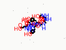 C[C@H](NC(=O)[C@H](C)NC(=O)[C@H](C)NC(=O)[C@H](C)NC(=O)[C@H](Cc1ccc(O)cc1)NC(=O)[C@H](Cc1ccc(O)cc1)NC(=O)[C@H](CC(=O)O)NC(=O)[C@@H](N)CCC(=O)O)C(=O)O